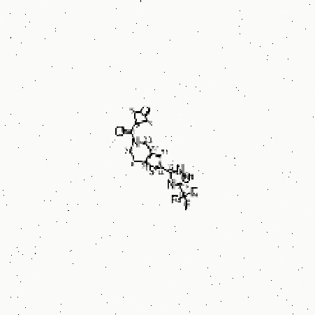 O=C(C1COC1)N1CCc2sc(-c3noc(C(F)(F)F)n3)cc2C1